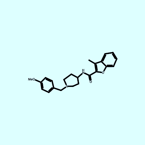 COc1ccc(CN2CCC(NC(=O)c3oc4ccccc4c3C)CC2)cc1